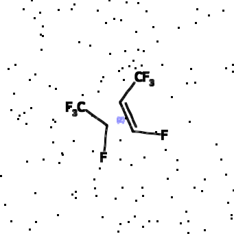 F/C=C\C(F)(F)F.FCC(F)(F)F